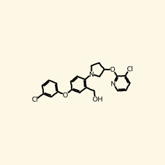 OCc1cc(Oc2cccc(Cl)c2)ccc1N1CCC(Oc2ncccc2Cl)C1